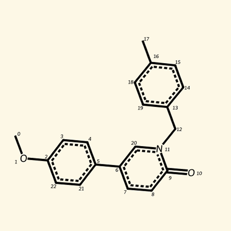 COc1ccc(-c2ccc(=O)n(Cc3ccc(C)cc3)c2)cc1